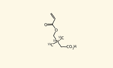 C=CC(=O)OC[15N+]([13CH3])([13CH3])CC(=O)O